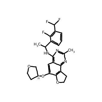 Cc1nc(NC(C)c2cccc(C(F)F)c2F)c2cc(O[C@H]3CCOC3)c3c(c2n1)CCO3